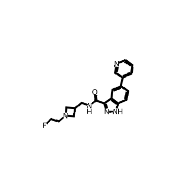 O=C(NCC1CN(CCF)C1)c1n[nH]c2ccc(-c3cccnc3)cc12